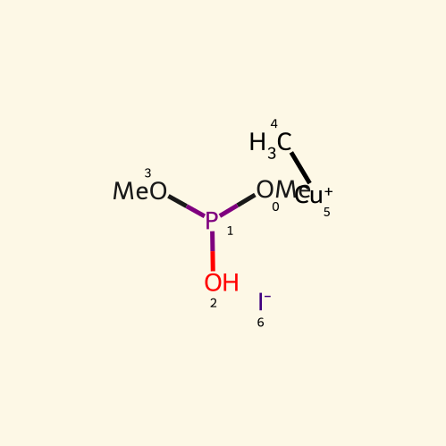 COP(O)OC.[CH3][Cu+].[I-]